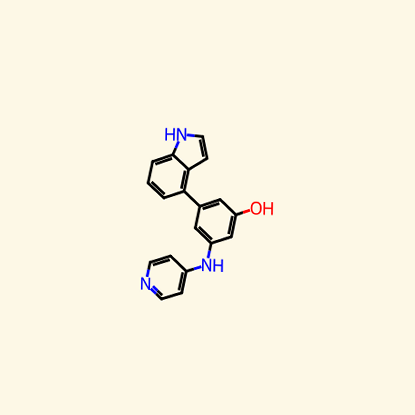 Oc1cc(Nc2ccncc2)cc(-c2cccc3[nH]ccc23)c1